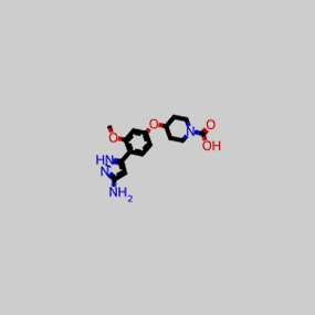 COc1cc(OC2CCN(C(=O)O)CC2)ccc1-c1cc(N)n[nH]1